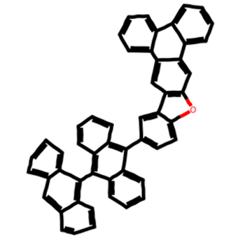 c1ccc2c(-c3c4ccccc4c(-c4ccc5oc6cc7c8ccccc8c8ccccc8c7cc6c5c4)c4ccccc34)c3ccccc3cc2c1